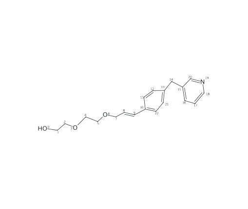 OCCOCCOCC=Cc1ccc(Cc2cccnc2)cc1